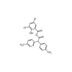 Cc1ccc(C(C(=O)OC(=O)c2cc(Cl)cc(Cl)c2O)c2ccc(C)cc2)cc1